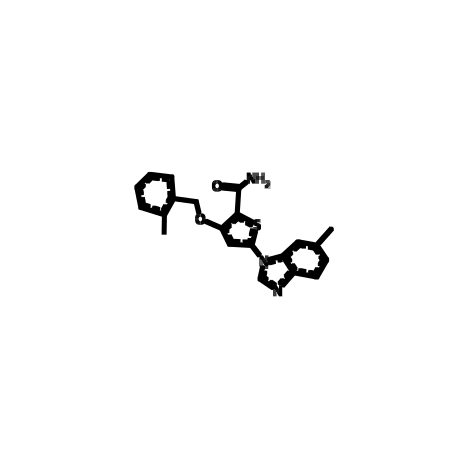 Cc1ccc2ncn(-c3cc(OCc4ccccc4C)c(C(N)=O)s3)c2c1